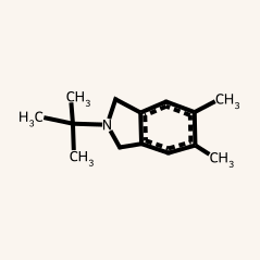 Cc1cc2c(cc1C)CN(C(C)(C)C)C2